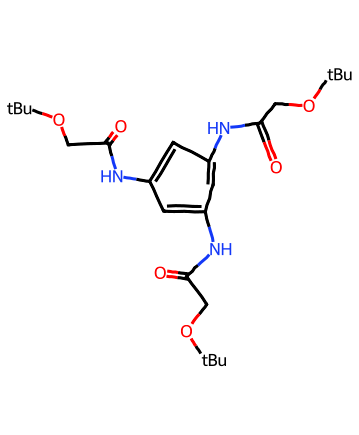 CC(C)(C)OCC(=O)Nc1cc(NC(=O)COC(C)(C)C)cc(NC(=O)COC(C)(C)C)c1